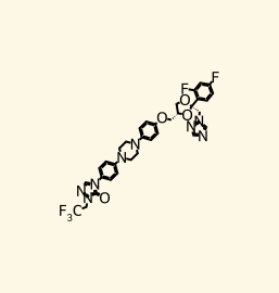 O=c1n(-c2ccc(N3CCN(c4ccc(OC[C@@H]5CO[C@@](Cn6cncn6)(c6ccc(F)cc6F)O5)cc4)CC3)cc2)cnn1CC(F)(F)F